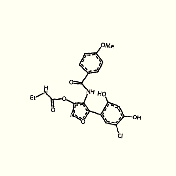 CCNC(=O)Oc1noc(-c2cc(Cl)c(O)cc2O)c1NC(=O)c1ccc(OC)cc1